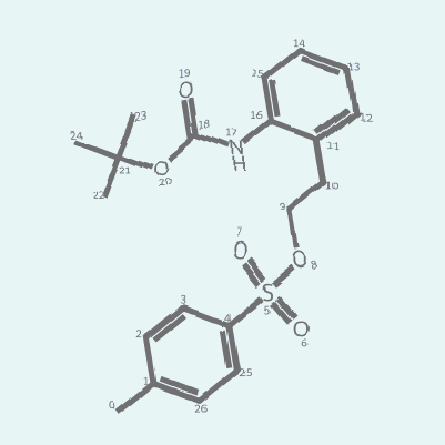 Cc1ccc(S(=O)(=O)OCCc2ccccc2NC(=O)OC(C)(C)C)cc1